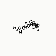 CNC1CCN(c2ccc(N3C(=O)O[C@@H](n4ccnn4)C3C)cc2F)CC1